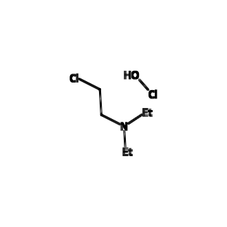 CCN(CC)CCCl.OCl